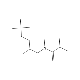 C=C(C(C)C)N(C)CC(C)CCC(C)(C)C